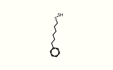 SSCCCCCCc1ccccc1